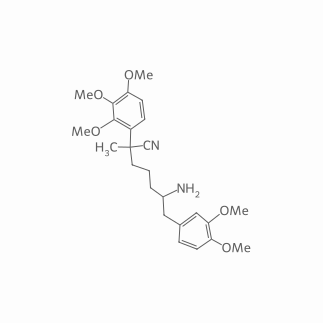 COc1ccc(CC(N)CCCC(C)(C#N)c2ccc(OC)c(OC)c2OC)cc1OC